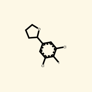 Clc1cc([C]2CCCO2)cc(Cl)c1I